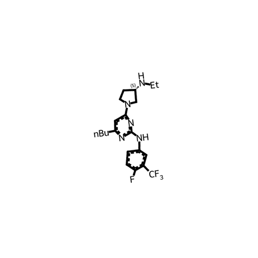 CCCCc1cc(N2CC[C@H](NCC)C2)nc(Nc2ccc(F)c(C(F)(F)F)c2)n1